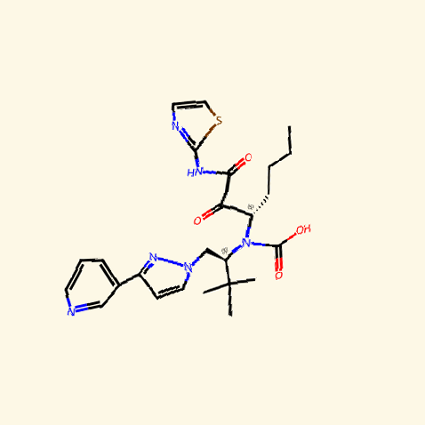 CCCC[C@@H](C(=O)C(=O)Nc1nccs1)N(C(=O)O)[C@H](Cn1ccc(-c2cccnc2)n1)C(C)(C)C